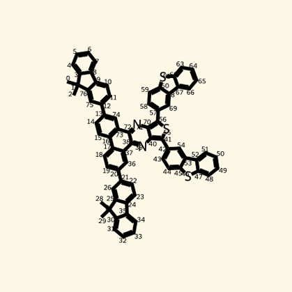 CC1(C)c2ccccc2-c2ccc(-c3ccc4c5ccc(-c6ccc7c(c6)C(C)(C)c6ccccc6-7)cc5c5nc6c(-c7ccc8sc9ccccc9c8c7)sc(-c7ccc8sc9ccccc9c8c7)c6nc5c4c3)cc21